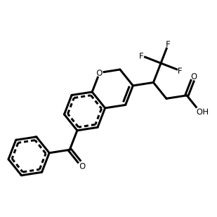 O=C(O)CC(C1=Cc2cc(C(=O)c3ccccc3)ccc2OC1)C(F)(F)F